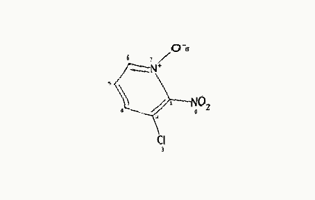 O=[N+]([O-])c1c(Cl)ccc[n+]1[O-]